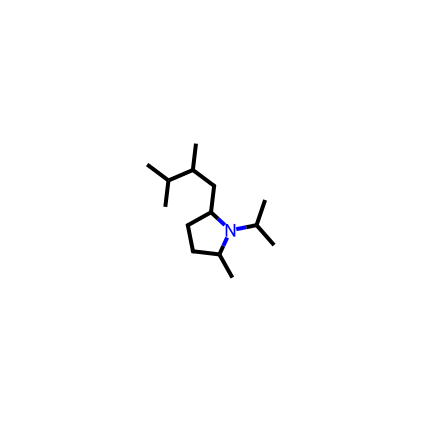 CC(C)C(C)CC1CCC(C)N1C(C)C